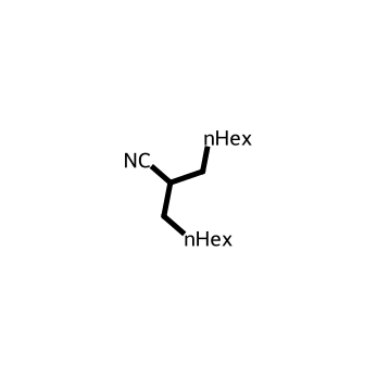 CCCCCCCC(C#N)CCCCCCC